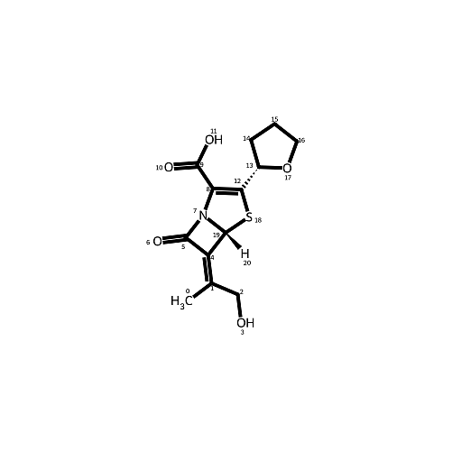 CC(CO)=C1C(=O)N2C(C(=O)O)=C([C@@H]3CCCO3)S[C@H]12